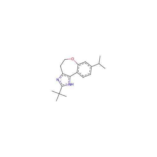 CC(C)c1ccc2c(c1)OCCc1nc(C(C)(C)C)[nH]c1-2